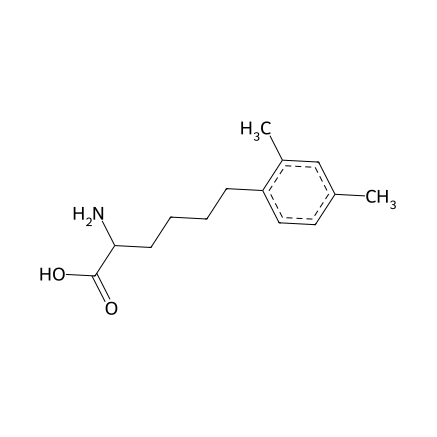 Cc1ccc(CCCCC(N)C(=O)O)c(C)c1